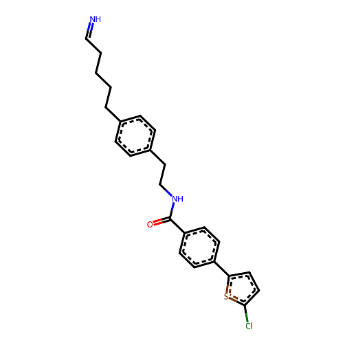 N=CCCCCc1ccc(CCNC(=O)c2ccc(-c3ccc(Cl)s3)cc2)cc1